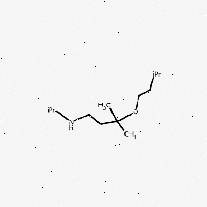 CC(C)CCOC(C)(C)CCNC(C)C